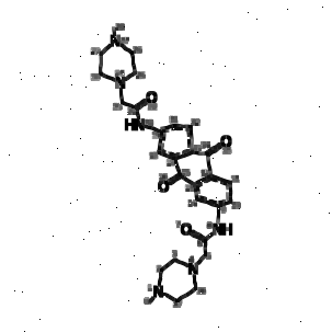 CN1CCN(CC(=O)Nc2ccc3c(c2)C(=O)c2cc(NC(=O)CN4CCN(C)CC4)ccc2C3=O)CC1